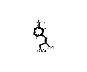 CC(=O)OCC(=Cc1cccc(C)c1)C(C)C